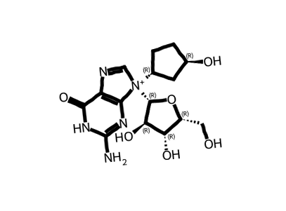 Nc1nc2c(c(=O)[nH]1)N=C[N+]2([C@@H]1CC[C@@H](O)C1)[C@@H]1O[C@H](CO)[C@H](O)[C@H]1O